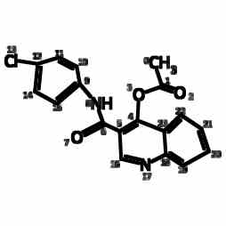 CC(=O)Oc1c(C(=O)Nc2ccc(Cl)cc2)cnc2ccccc12